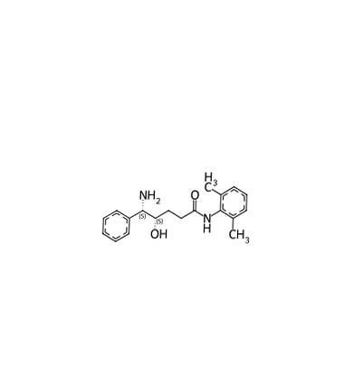 Cc1cccc(C)c1NC(=O)CC[C@H](O)[C@@H](N)c1ccccc1